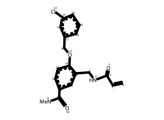 C=CC(=O)NCc1cc(C(=O)NC)ccc1OCc1cccc(Cl)c1